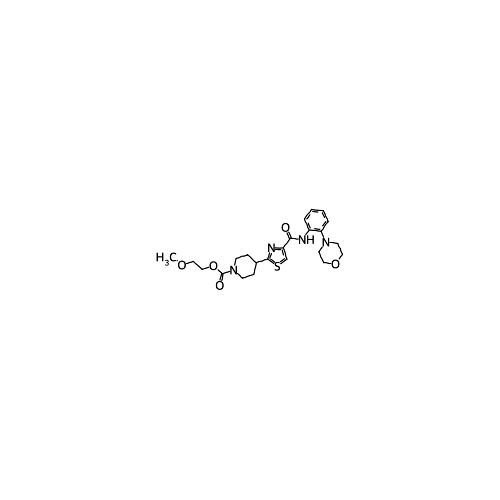 COCCOC(=O)N1CCC(c2nc(C(=O)Nc3ccccc3N3CCOCC3)cs2)CC1